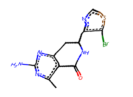 Cc1nc(N)nc2c1C(=O)NC(c1ncsc1Br)C2